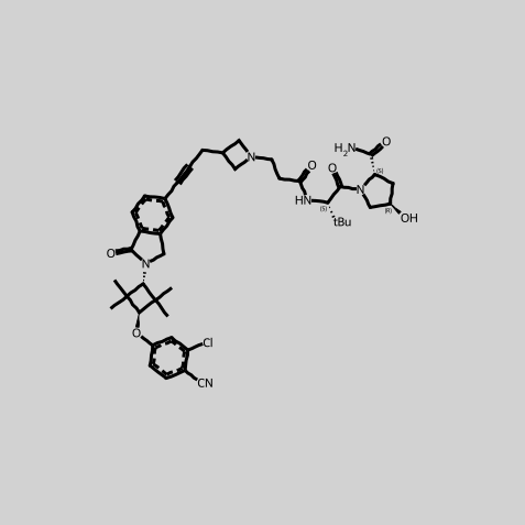 CC(C)(C)[C@H](NC(=O)CCN1CC(CC#Cc2ccc3c(c2)CN([C@H]2C(C)(C)[C@H](Oc4ccc(C#N)c(Cl)c4)C2(C)C)C3=O)C1)C(=O)N1C[C@H](O)C[C@H]1C(N)=O